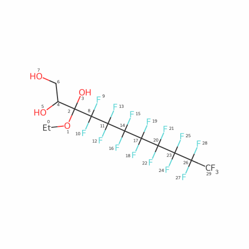 CCOC(O)(C(O)CO)C(F)(F)C(F)(F)C(F)(F)C(F)(F)C(F)(F)C(F)(F)C(F)(F)C(F)(F)F